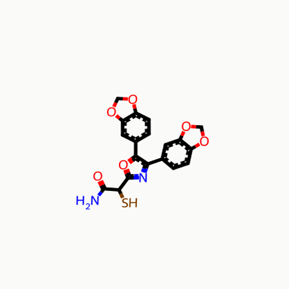 NC(=O)C(S)c1nc(-c2ccc3c(c2)OCO3)c(-c2ccc3c(c2)OCO3)o1